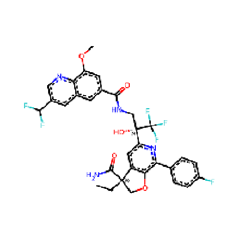 CC[C@]1(C(N)=O)COc2c1cc([C@@](O)(CNC(=O)c1cc(OC)c3ncc(C(F)F)cc3c1)C(F)(F)F)nc2-c1ccc(F)cc1